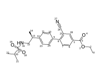 CCOC(=O)c1ccc(-c2ccc([C@H](C)CNS(=O)(=O)C(C)C)cc2)c(C#N)c1